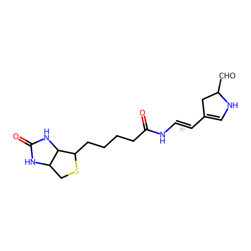 O=CC1CC(/C=C/NC(=O)CCCCC2SCC3NC(=O)NC32)=CN1